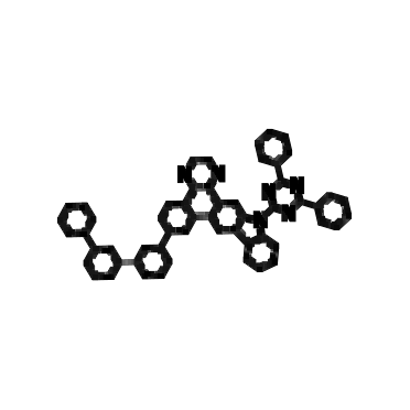 c1ccc(-c2cccc(-c3cccc(-c4ccc5c(c4)c4cc6c7ccccc7n(-c7nc(-c8ccccc8)nc(-c8ccccc8)n7)c6cc4c4nccnc54)c3)c2)cc1